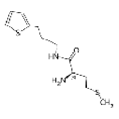 CSCC[C@@H](N)C(=O)NCCCc1cccs1